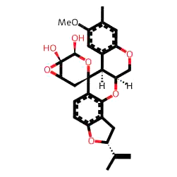 C=C(C)[C@H]1Cc2c(ccc3c2O[C@@H]2COc4cc(C)c(OC)cc4[C@@H]2[C@]32CC3O[C@]3(O)[C@@H](O)O2)O1